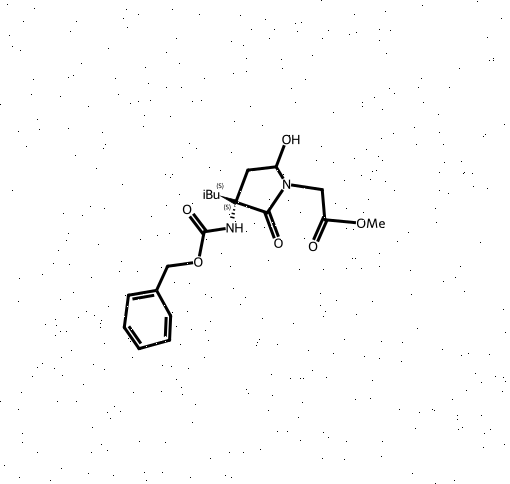 CC[C@H](C)[C@@]1(NC(=O)OCc2ccccc2)CC(O)N(CC(=O)OC)C1=O